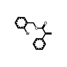 C=C(C(=O)OCc1ccccc1Br)c1ccccc1